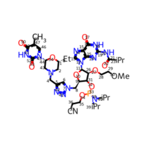 CC[C@@H]1CN(Cc2cn(C[C@H]3O[C@@H](n4cnc5c(=O)[nH]c(NC(=O)C(C)C)nc54)[C@@H](OCCOC)C3OP(OCCC#N)N(C(C)C)C(C)C)nn2)C[C@H](n2cc(C)c(=O)[nH]c2=O)O1